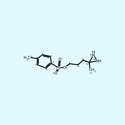 Cc1ccc(S(=O)(=O)OCCCC2(C)NN2)cc1